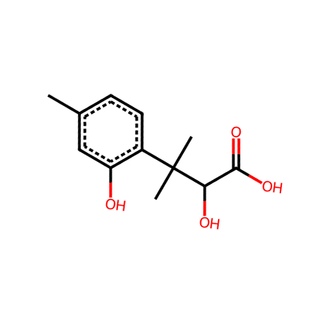 Cc1ccc(C(C)(C)C(O)C(=O)O)c(O)c1